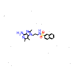 Cc1nc(N)c2nc(C)n(CCCNS(=O)(=O)c3ccc4ccccc4c3)c2c1C